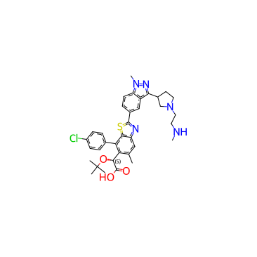 CNCCN1CCC(c2nn(C)c3ccc(-c4nc5cc(C)c([C@H](OC(C)(C)C)C(=O)O)c(-c6ccc(Cl)cc6)c5s4)cc23)C1